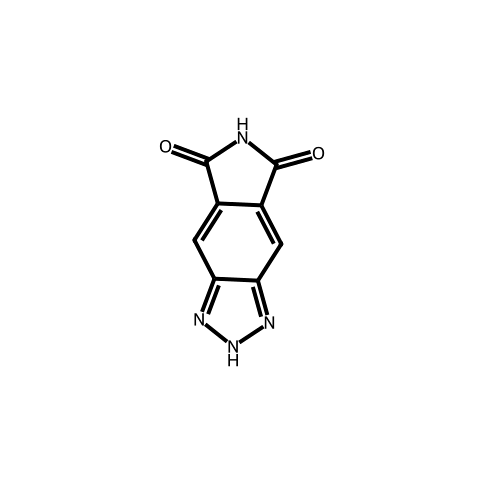 O=C1NC(=O)c2cc3n[nH]nc3cc21